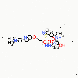 Cc1ncsc1-c1ccc(C(C)NC(=O)[C@@H]2C[C@@H](O)CN2C(=O)C(NC(=O)COCCCCCOc2ccc3nc(-c4ccc(N(C)C)cc4)ccc3c2)C(C)(C)C)cc1